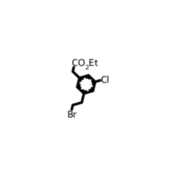 CCOC(=O)Cc1cc(Cl)cc(CCBr)c1